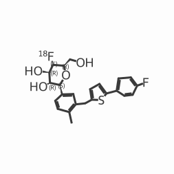 Cc1ccc([C@@H]2O[C@H](CO)[C@@H]([18F])[C@H](O)[C@H]2O)cc1Cc1ccc(-c2ccc(F)cc2)s1